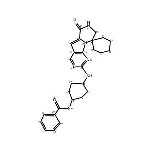 O=C(NC1CCC(Nc2ncc3cc4n(c3n2)C2(CCCCC2)CNC4=O)CC1)c1ccccc1